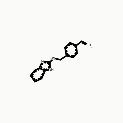 C=Cc1ccc(CNc2nc3ccccc3[nH]2)cc1